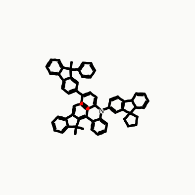 CC1(C)c2ccccc2-c2cccc(-c3ccccc3N(c3ccc(-c4ccc5c(c4)C(C)(c4ccccc4)c4ccccc4-5)cc3)c3ccc4c(c3)C3(CCCC3)C3C=CC=CC43)c21